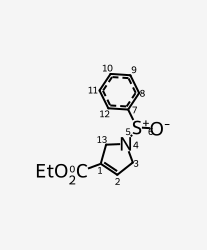 CCOC(=O)C1=CCN([S+]([O-])c2ccccc2)C1